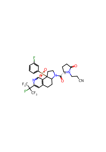 N#CCCN1C(=O)CC[C@H]1C(=O)N1CCC2(S(=O)(=O)c3cccc(F)c3)c3cnc(C(F)(C(F)(F)F)C(F)(F)F)cc3CCC12